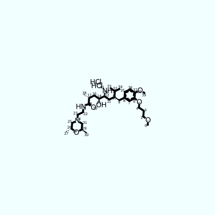 COCCCOc1cc(C[C@@H](C[C@H](N)[C@@H](O)C[C@@H](C)C(=O)NCCN2C[C@@H](C)O[C@H](C)C2)C(C)C)ccc1OC.Cl.Cl